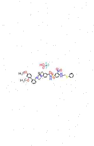 COc1ccc(-c2ccccc2CN2CCN3c4ccc(C(=O)NS(=O)(=O)c5ccc(NCCSc6ccccc6)c([N+](=O)[O-])c5)cc4CC[C@H]3C2)c(OC)c1.O=C(O)C(F)(F)F